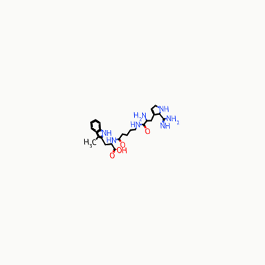 Cc1c(CC(NC(=O)CCCCNC(=O)C(N)CC2=CCNC2C(=N)N)C(=O)O)[nH]c2ccccc12